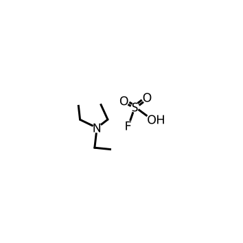 CCN(CC)CC.O=S(=O)(O)F